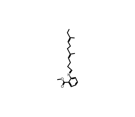 CC/C(C)=C/CC/C(C)=C/CC/C=N/c1ccccc1C(=O)OC